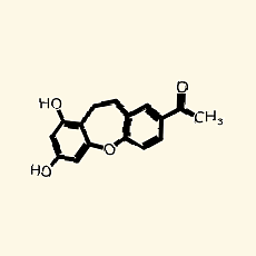 CC(=O)c1ccc2c(c1)CCc1c(O)cc(O)cc1O2